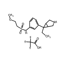 CCC1(c2cccc(NS(=O)(=O)CCOC)c2)C2CNCC21.O=C(O)C(F)(F)F